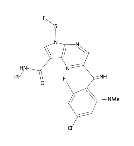 CNc1cc(Cl)cc(F)c1C(=N)c1cnc2c(n1)c(C(=O)NC(C)C)cn2SF